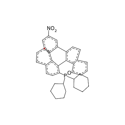 O=[N+]([O-])c1cccc(-c2ccc3ccccc3c2-c2c(P(=O)(C3CCCCC3)C3CCCCC3)ccc3ccccc23)c1